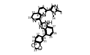 Cc1ncc(-c2ccc3c(n2)C(c2nc4c(-c5ccc6c(c5)OCO6)cccc4[nH]2)=NCC3)n1C